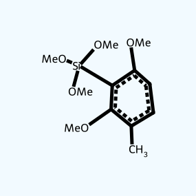 COc1ccc(C)c(OC)c1[Si](OC)(OC)OC